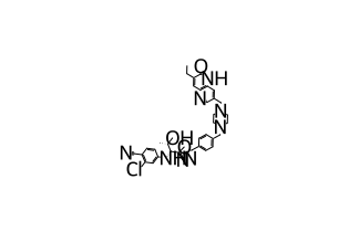 CCc1cc2ncc(CN3CCN(Cc4ccc(-c5nnc([C@H](Nc6ccc(C#N)c(Cl)c6)[C@H](C)O)o5)cc4)CC3)cc2[nH]c1=O